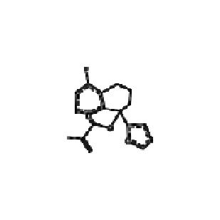 C=C(C)C(=O)OC1(c2ccco2)CCCc2c(F)cccc21